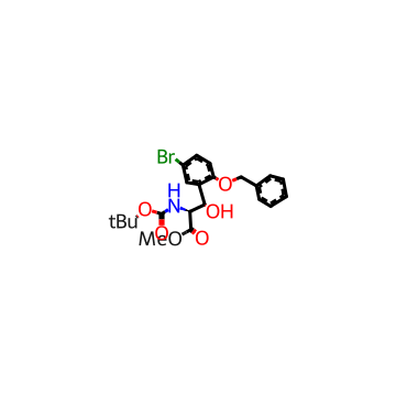 COC(=O)[C@@H](NC(=O)OC(C)(C)C)C(O)c1cc(Br)ccc1OCc1ccccc1